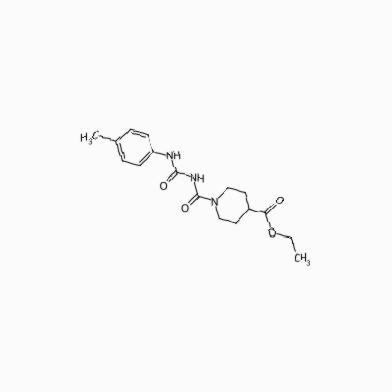 CCOC(=O)C1CCN(C(=O)NC(=O)Nc2ccc(C)cc2)CC1